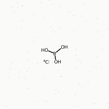 OB(O)O.[4C]